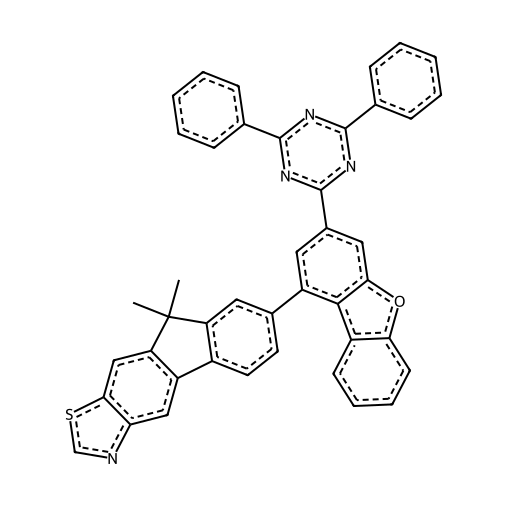 CC1(C)c2cc(-c3cc(-c4nc(-c5ccccc5)nc(-c5ccccc5)n4)cc4oc5ccccc5c34)ccc2-c2cc3ncsc3cc21